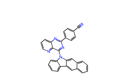 N#Cc1ccc(-c2nc(-n3c4ccccc4c4cc5ccccc5cc43)c3ncccc3n2)cc1